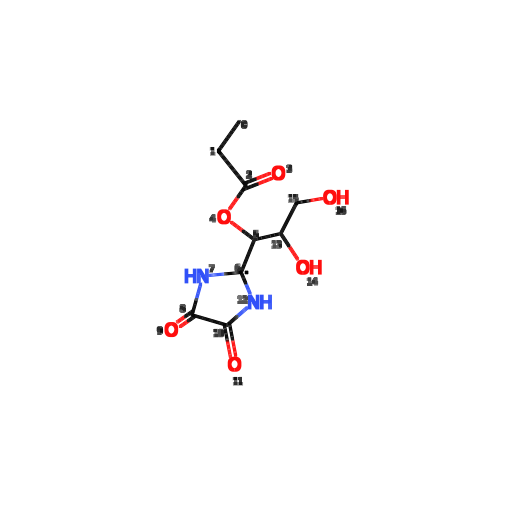 CCC(=O)OC([C]1NC(=O)C(=O)N1)C(O)CO